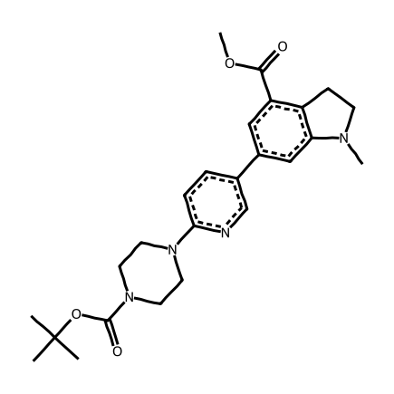 COC(=O)c1cc(-c2ccc(N3CCN(C(=O)OC(C)(C)C)CC3)nc2)cc2c1CCN2C